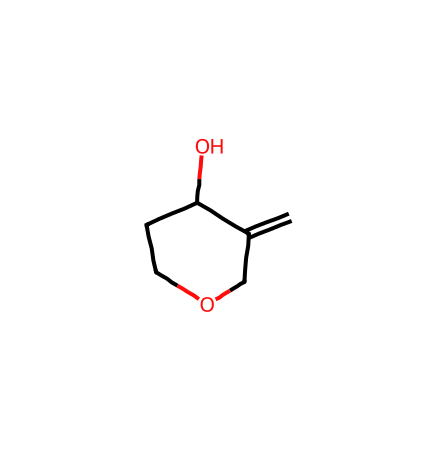 C=C1COCCC1O